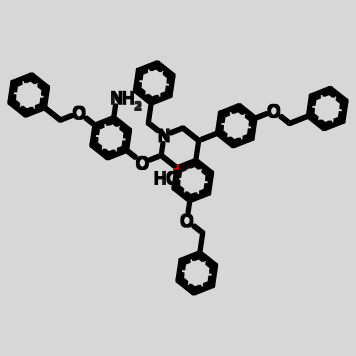 CC(O)C(Oc1ccc(OCc2ccccc2)c(N)c1)N(Cc1ccccc1)CC(c1ccc(OCc2ccccc2)cc1)c1ccc(OCc2ccccc2)cc1